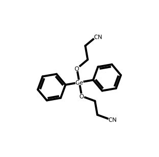 N#CCC[O][Ge]([O]CCC#N)([c]1ccccc1)[c]1ccccc1